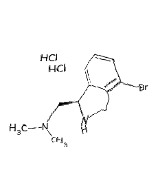 CN(C)C[C@@H]1NCc2c(Br)cccc21.Cl.Cl